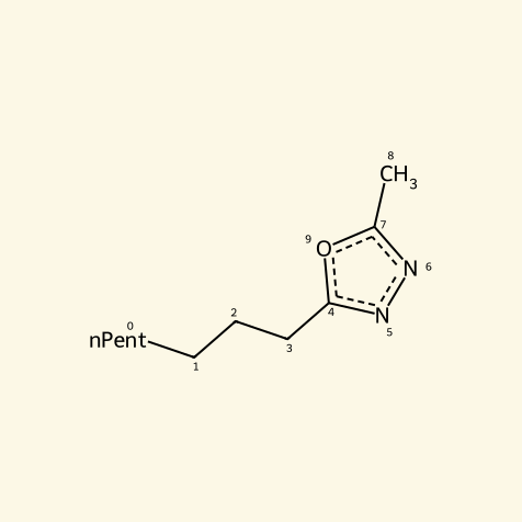 CCCCCCCCc1nnc(C)o1